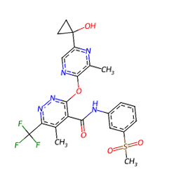 Cc1nc(C2(O)CC2)cnc1Oc1nnc(C(F)(F)F)c(C)c1C(=O)Nc1cccc(S(C)(=O)=O)c1